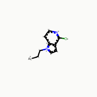 CC(=O)CCn1ccc2c(Cl)nccc21